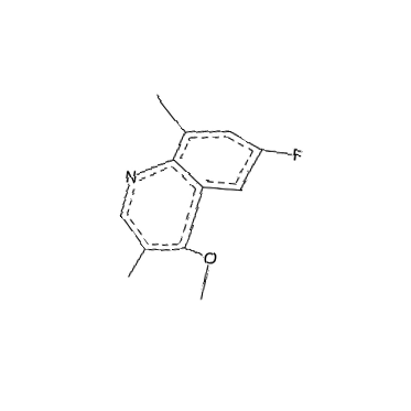 COc1c(C)cnc2c(C)cc(F)cc12